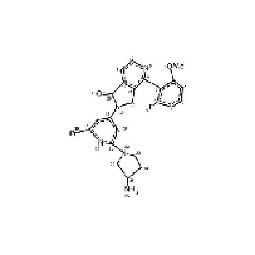 COc1cccc(F)c1-c1nccc2c1CN(c1cc(C(C)C)nc(N3CCC(N)C3)n1)C2=O